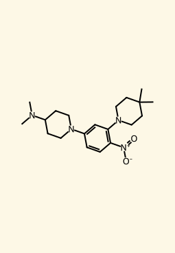 CN(C)C1CCN(c2ccc([N+](=O)[O-])c(N3CCC(C)(C)CC3)c2)CC1